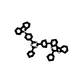 c1ccc(-c2nc(-c3ccc(-c4cccc5c4nc(-c4ccccc4)c4sc6ccccc6c45)cc3)nc(-c3ccc(-n4c5ccccc5c5ccccc54)cc3)n2)cc1